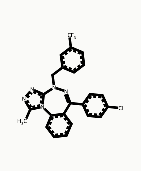 Cc1nnc2n1-c1ccccc1C(c1ccc(Cl)cc1)=NN2Cc1cccc(C(F)(F)F)c1